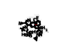 BC(Cc1cc(Cl)c2ncc(C#N)c(N(CCP(=O)(O)O)CC(C)(C)C)c2c1)(c1ccc(F)cc1)c1cn(C2CC2)nn1